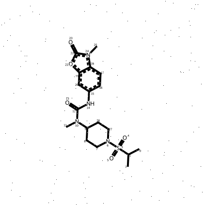 CC(C)S(=O)(=O)N1CCC(N(C)C(=O)Nc2ccc3c(c2)oc(=O)n3C)CC1